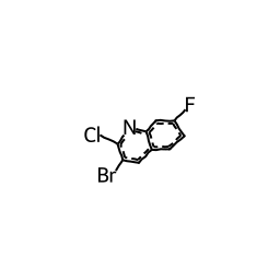 Fc1ccc2cc(Br)c(Cl)nc2c1